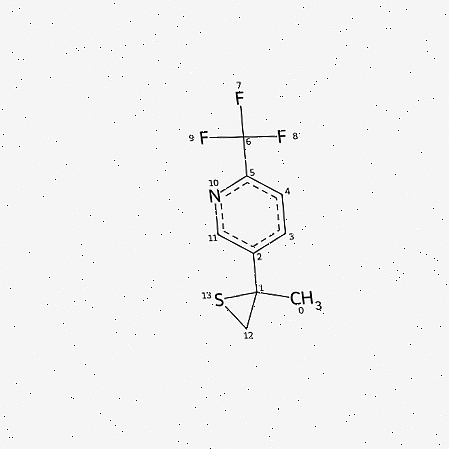 CC1(c2ccc(C(F)(F)F)nc2)CS1